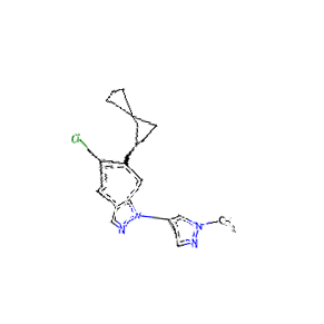 Cn1cc(-n2ncc3cc(Cl)c([C@@H]4CC45CC5)cc32)cn1